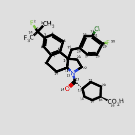 CC(F)(c1ccc2c(c1)CCC1N(C(=O)[C@H]3CC[C@H](C(=O)O)CC3)CCC21Cc1ccc(F)c(Cl)c1)C(F)(F)F